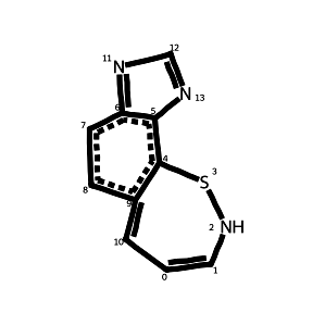 C1=CNSc2c3c(ccc2=C1)=NC=N3